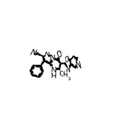 Cc1[nH]c2c(-c3ccccc3)c(C#N)nn2c(=O)c1-c1nc2cnccc2o1